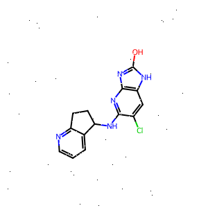 Oc1nc2nc(NC3CCc4ncccc43)c(Cl)cc2[nH]1